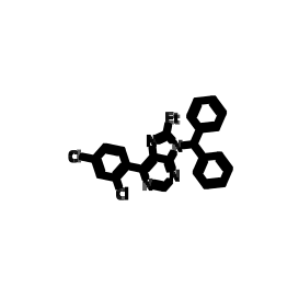 CCc1nc2c(-c3ccc(Cl)cc3Cl)ncnc2n1C(c1ccccc1)c1ccccc1